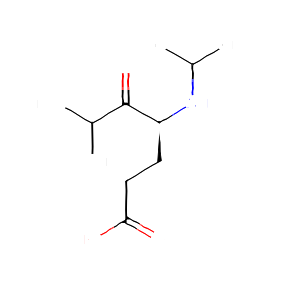 CC(C)N[C@@H](CCC(=O)O)C(=O)C(C)C